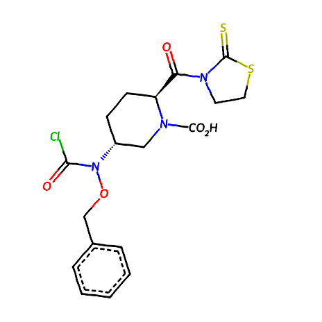 O=C([C@@H]1CC[C@@H](N(OCc2ccccc2)C(=O)Cl)CN1C(=O)O)N1CCSC1=S